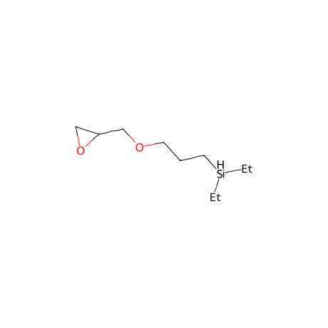 CC[SiH](CC)CCCOCC1CO1